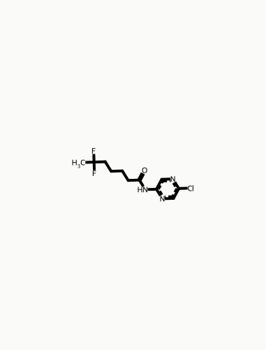 CC(F)(F)CCCCC(=O)Nc1cnc(Cl)cn1